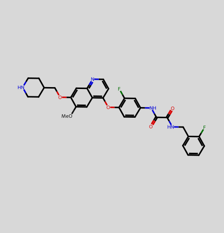 COc1cc2c(Oc3ccc(NC(=O)C(=O)NCc4ccccc4F)cc3F)ccnc2cc1OCC1CCNCC1